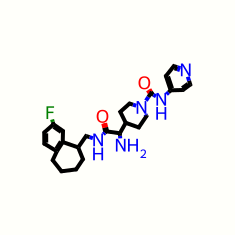 NC(C(=O)NCC1CCCCc2ccc(F)cc21)C1CCN(C(=O)Nc2ccncc2)CC1